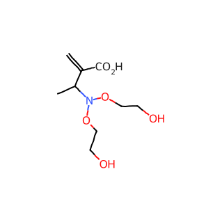 C=C(C(=O)O)C(C)N(OCCO)OCCO